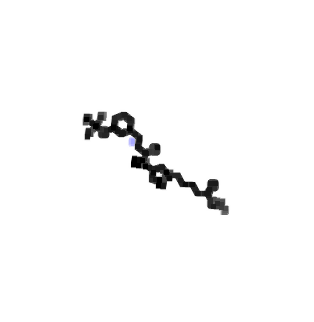 CC(=O)CCCCn1cc(NC(=O)/C=C/c2cccc(OC(F)(F)F)c2)cn1